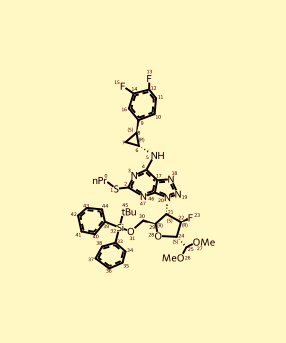 CCCSc1nc(N[C@@H]2C[C@H]2c2ccc(F)c(F)c2)c2nnn([C@@H]3[C@@H](F)[C@H](C(OC)OC)O[C@H]3CO[Si](c3ccccc3)(c3ccccc3)C(C)(C)C)c2n1